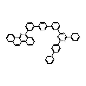 c1ccc(-c2ccc(-c3nc(-c4ccccc4)nc(-c4cccc(-c5ccc(-c6cccc(-c7nc8c9ccccc9ccc8c8ccccc78)c6)cc5)c4)n3)cc2)cc1